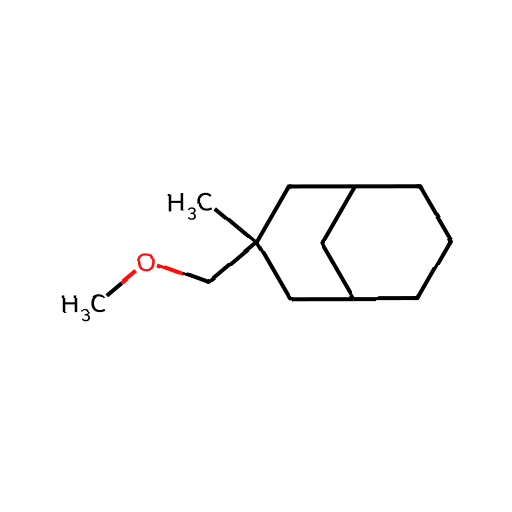 COCC1(C)CC2CCCC(C2)C1